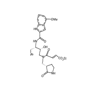 CCOC(=O)/C=C/C(=O)N(C[C@@H]1CCNC1=O)C[C@@H](O)[C@H](CC(C)C)NC(=O)c1cc2c(OC)cccc2[nH]1